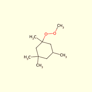 COOC1(C)CC(C)CC(C)(C)C1